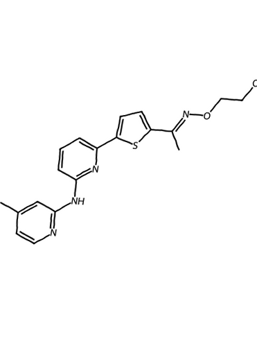 C/C(=N\OCCO)c1ccc(-c2cccc(Nc3cc(C)ccn3)n2)s1